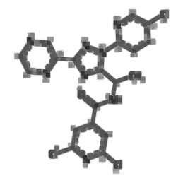 CC(NC(=O)c1cc(Cl)nc(Cl)c1)c1nc(-c2cnccn2)nn1-c1ccc(Cl)cn1